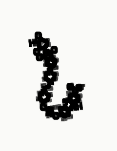 O=C1CCC(N2C(=O)c3ccc(N4CCN(CCN5CCC(O[C@H]6C[C@H](Oc7ccc8c(c7)Sc7cc([N+](=O)[O-])ccc7N8)C6)CC5)CC4)cc3C2=O)C(=O)N1